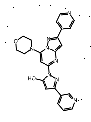 Oc1cc(-c2cccnc2)nn1-c1cc(N2CCOCC2)n2nc(-c3ccncc3)cc2n1